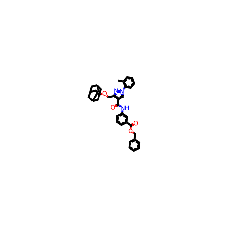 Cc1ccccc1-n1cc(C(=O)Nc2cccc(C(=O)OCc3ccccc3)c2)c(COC23CC4CC(CC(C4)C2)C3)n1